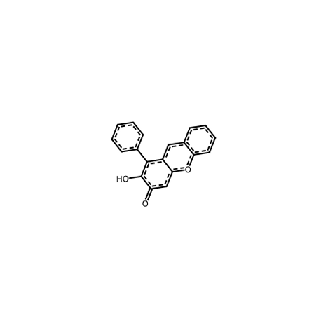 O=c1cc2oc3ccccc3cc-2c(-c2ccccc2)c1O